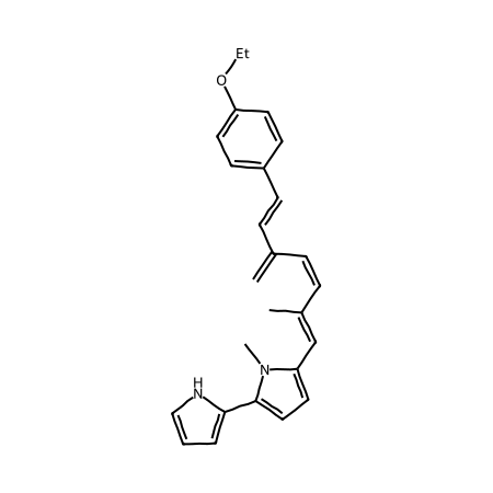 C=C(/C=C\C(C)=C\c1ccc(-c2ccc[nH]2)n1C)/C=C/c1ccc(OCC)cc1